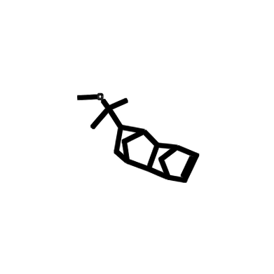 COC(C)(C)C1CC2CC1C1C3C=CC(C3)C21